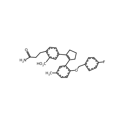 Cc1ccc(OCc2ccc(F)cc2)c(C2=C(c3ccc(CCC(N)=O)c(C(=O)O)c3)CCC2)c1